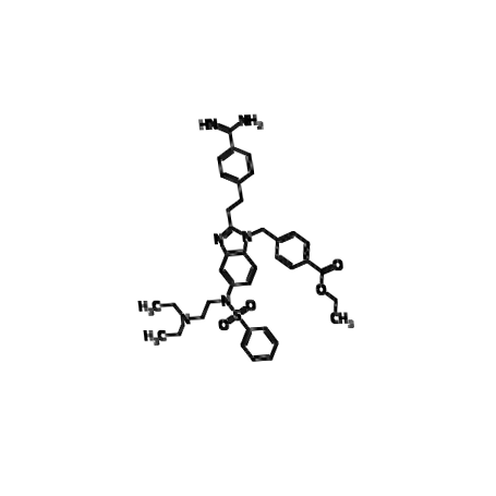 CCOC(=O)c1ccc(Cn2c(CCc3ccc(C(=N)N)cc3)nc3cc(N(CCN(CC)CC)S(=O)(=O)c4ccccc4)ccc32)cc1